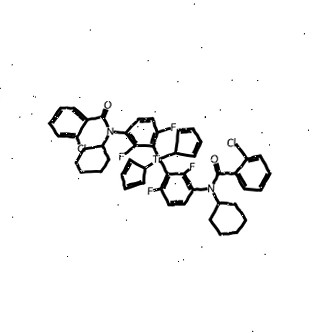 O=C(c1ccccc1Cl)N(c1ccc(F)[c]([Ti]([c]2c(F)ccc(N(C(=O)c3ccccc3Cl)C3CCCCC3)c2F)([CH]2C=CC=C2)[CH]2C=CC=C2)c1F)C1CCCCC1